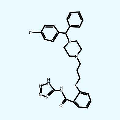 O=C(Nc1nnn[nH]1)c1ccccc1SCCCN1CCN(C(c2ccccc2)c2ccc(Cl)cc2)CC1